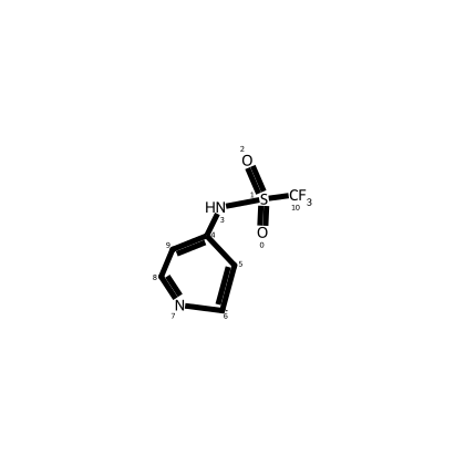 O=S(=O)(Nc1c[c]ncc1)C(F)(F)F